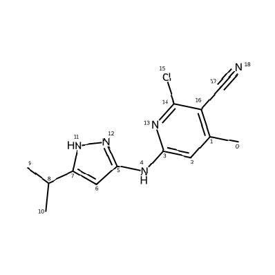 Cc1cc(Nc2cc(C(C)C)[nH]n2)nc(Cl)c1C#N